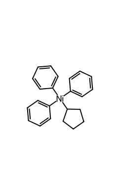 c1cc[c]([Ni]([c]2ccccc2)([c]2ccccc2)[CH]2CCCC2)cc1